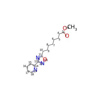 COC(=O)CCCCCCCc1nc(-c2ccccn2)no1